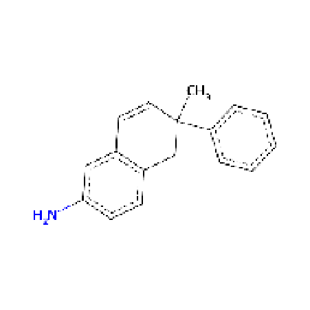 CC1(c2ccccc2)C=Cc2cc(N)ccc2C1